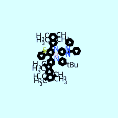 CC(C)(C)c1ccc(N2B3c4cc5nc(-c6ccccc6)n(-c6ccccc6)c5cc4-n4c5cc6c(cc5c5c7sc8ccccc8c7c(c3c54)-c3cc4c(cc32)-c2cc3c(cc2C4(C)C)C(C)(C)CCC3(C)C)C(C)(C)CCC6(C)C)cc1